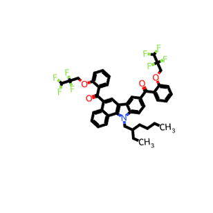 CCCCC(CC)Cn1c2ccc(C(=O)c3ccccc3OCC(F)(F)C(F)F)cc2c2cc(C(=O)c3ccccc3OCC(F)(F)C(F)F)c3ccccc3c21